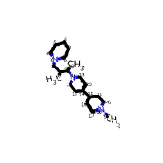 CC(CN1CCCCC1)C(C)N1CCC(C2CCN(C)CC2)CC1